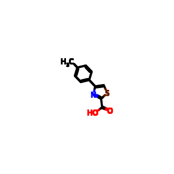 Cc1ccc(-c2csc(C(=O)O)n2)cc1